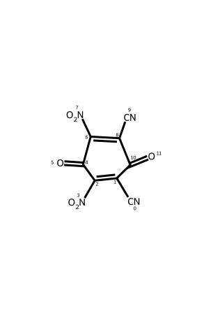 N#CC1=C([N+](=O)[O-])C(=O)C([N+](=O)[O-])=C(C#N)C1=O